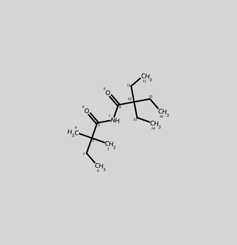 CCC(C)(C)C(=O)NC(=O)C(CC)(CC)CC